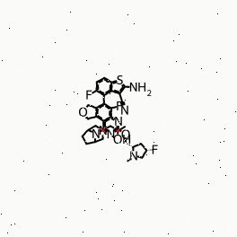 CC(O)CN1CC2CCC(C1)N2c1nc(OC[C@@H]2C[C@H](F)CN2C)nc2c(F)c(-c3c(F)ccc4sc(N)c(C#N)c34)c3c(c12)COC3